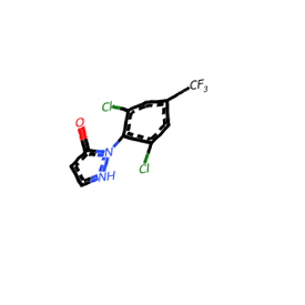 O=c1cc[nH]n1-c1c(Cl)cc(C(F)(F)F)cc1Cl